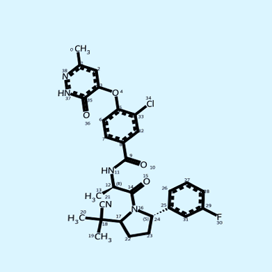 Cc1cc(Oc2ccc(C(=O)N[C@H](C)C(=O)N3C(C(C)(C)C#N)CC[C@H]3c3cccc(F)c3)cc2Cl)c(=O)[nH]n1